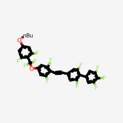 CCCCOc1cc(F)c(C(F)(F)Oc2cc(F)c(C#Cc3cc(F)c(-c4cc(F)c(F)c(F)c4)c(F)c3)c(F)c2)c(F)c1